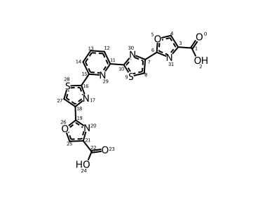 O=C(O)c1coc(-c2csc(-c3cccc(-c4nc(-c5nc(C(=O)O)co5)cs4)n3)n2)n1